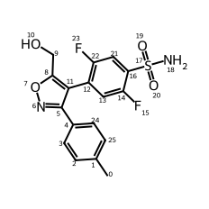 Cc1ccc(-c2noc(CO)c2-c2cc(F)c(S(N)(=O)=O)cc2F)cc1